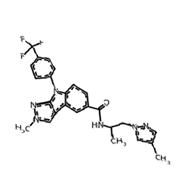 Cc1cnn(CC(C)NC(=O)c2ccc3c(c2)c2cn(C)nc2n3-c2ccc(C(F)(F)F)cc2)c1